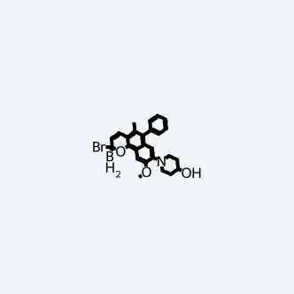 BC1(Br)C=Cc2c(C)c(-c3ccccc3)c3cc(N4CCC(O)CC4)c(OC)cc3c2O1